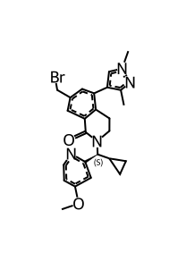 COc1ccnc([C@H](C2CC2)N2CCc3c(cc(CBr)cc3-c3cn(C)nc3C)C2=O)c1